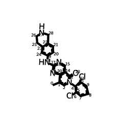 Cc1cn(-c2c(Cl)cccc2Cl)c(=O)c2cnc(Nc3ccc4c(c3)CCNC4)nc12